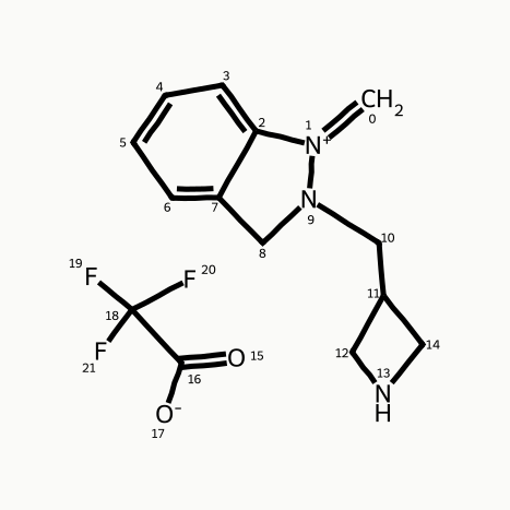 C=[N+]1c2ccccc2CN1CC1CNC1.O=C([O-])C(F)(F)F